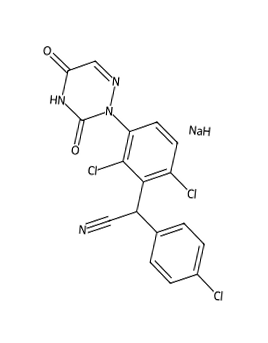 N#CC(c1ccc(Cl)cc1)c1c(Cl)ccc(-n2ncc(=O)[nH]c2=O)c1Cl.[NaH]